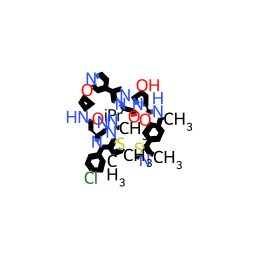 Cc1ncsc1-c1ccc([C@H](C)NC(=O)[C@@H]2C[C@@H](O)CN2C(=O)[C@H](C(C)C)n2cc(-c3ccnc(O[C@H]4C[C@H](NC(=O)C[C@@H]5N=C(c6ccc(Cl)cc6)c6c(sc(C)c6C)-n6c(C)nnc65)C4)c3)cn2)cc1